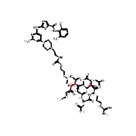 Cc1nc(Nc2ncc(C(=O)Nc3c(C)cccc3Cl)s2)cc(N2CCN(CCNC(=O)OCCSSC[C@H](NC(=O)[C@H](CC(=O)O)NC(=O)[C@H](CC(=O)O)NC(=O)[C@H](CCCNC(=N)N)NC(=O)[C@H](CC(=O)O)NC(=O)CC[C@H](NC(=O)CON)C(=O)O)C(=O)O)CC2)n1